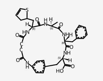 C[C@@H]1NC(=O)[C@@H](CC2CC=CS2)NC(=O)CCC(=O)Nc2ccc(cc2)C[C@@H](C(=O)O)NC(=O)[C@@H](Cc2ccccc2)NC1=O